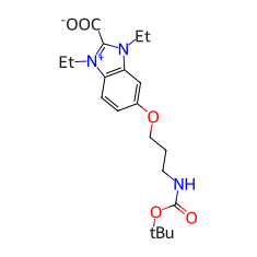 CCn1c(C(=O)[O-])[n+](CC)c2ccc(OCCCNC(=O)OC(C)(C)C)cc21